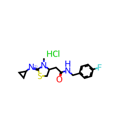 CN1/C(=N/C2CC2)SCC1CC(=O)NCc1ccc(F)cc1.Cl